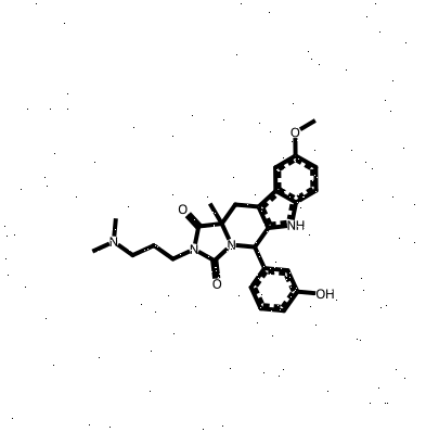 COc1ccc2[nH]c3c(c2c1)CC1(C)C(=O)N(CCCN(C)C)C(=O)N1C3c1cccc(O)c1